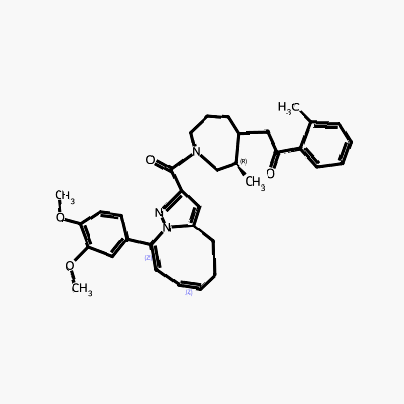 COc1ccc(/C2=C/C=C\CCc3cc(C(=O)N4CCCC(CC(=O)c5ccccc5C)[C@@H](C)C4)nn32)cc1OC